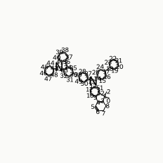 CC1(C)C2=C(C#CCC2)c2ccc(N(c3ccc(-c4ccccc4)cc3)c3ccc(-c4ccc5c(c4)c4ccccc4n5-c4ccccc4)cc3)cc21